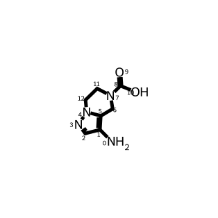 Nc1cnn2c1CN(C(=O)O)CC2